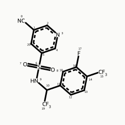 N#Cc1cncc(S(=O)(=O)NC(c2ccc(C(F)(F)F)c(F)c2)C(F)(F)F)c1